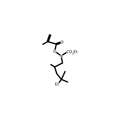 C=C(C)C(=O)ON(CC(C)CC(C)(C)CC)C(=O)OCC